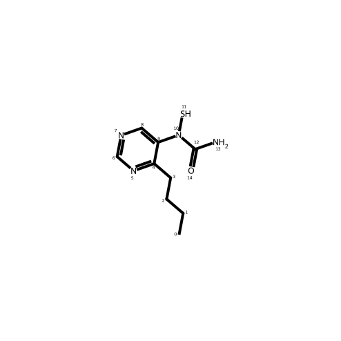 CCCCc1ncncc1N(S)C(N)=O